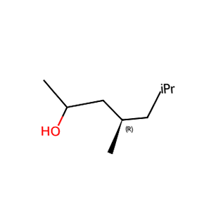 CC(C)C[C@@H](C)CC(C)O